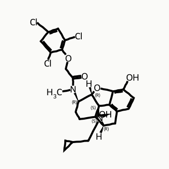 CN(C(=O)COc1c(Cl)cc(Cl)cc1Cl)[C@@H]1CC[C@@]2(O)[C@H]3Cc4ccc(O)c5c4[C@@]2(CCN3CC2CC2)[C@H]1O5